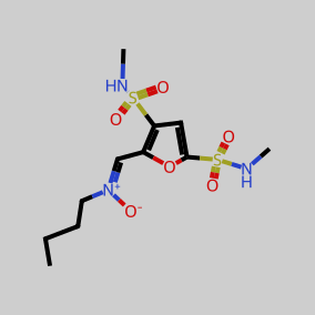 CCCC[N+]([O-])=Cc1oc(S(=O)(=O)NC)cc1S(=O)(=O)NC